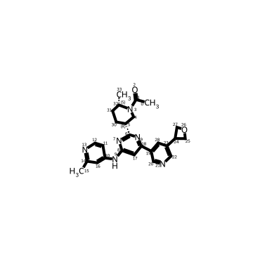 CC(=O)N1C[C@H](c2nc(Nc3ccnc(C)c3)cc(-c3cncc(C4COC4)c3)n2)CC[C@@H]1C